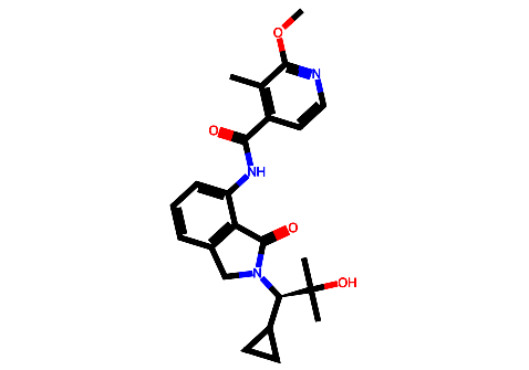 COc1nccc(C(=O)Nc2cccc3c2C(=O)N([C@H](C2CC2)C(C)(C)O)C3)c1C